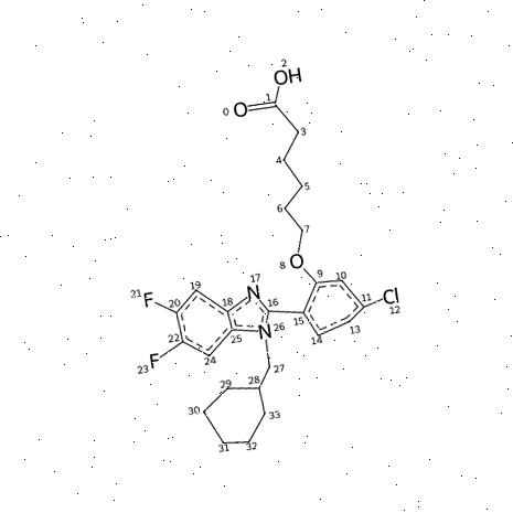 O=C(O)CCCCCOc1cc(Cl)ccc1-c1nc2cc(F)c(F)cc2n1CC1CCCCC1